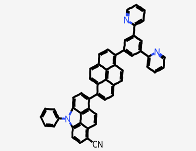 N#Cc1ccc2c3c1ccc1c(-c4ccc5ccc6c(-c7cc(-c8ccccn8)cc(-c8ccccn8)c7)ccc7ccc4c5c76)ccc(c13)n2-c1ccccc1